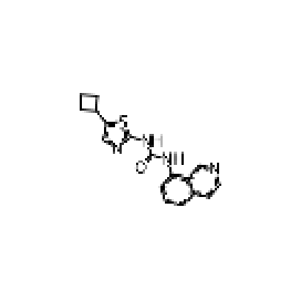 O=C(Nc1ncc(C2CCC2)s1)Nc1cccc2ccncc12